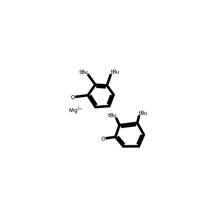 CC(C)(C)c1cccc([O-])c1C(C)(C)C.CC(C)(C)c1cccc([O-])c1C(C)(C)C.[Mg+2]